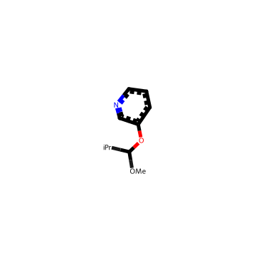 COC(Oc1[c]nccc1)C(C)C